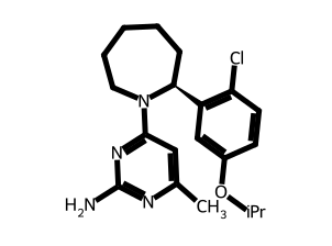 Cc1cc(N2CCCCC[C@H]2c2cc(OC(C)C)ccc2Cl)nc(N)n1